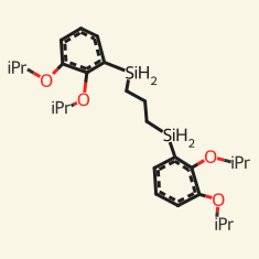 CC(C)Oc1cccc([SiH2]CCC[SiH2]c2cccc(OC(C)C)c2OC(C)C)c1OC(C)C